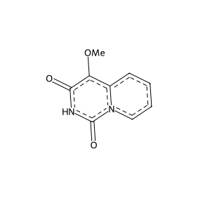 COc1c(=O)[nH]c(=O)n2ccccc12